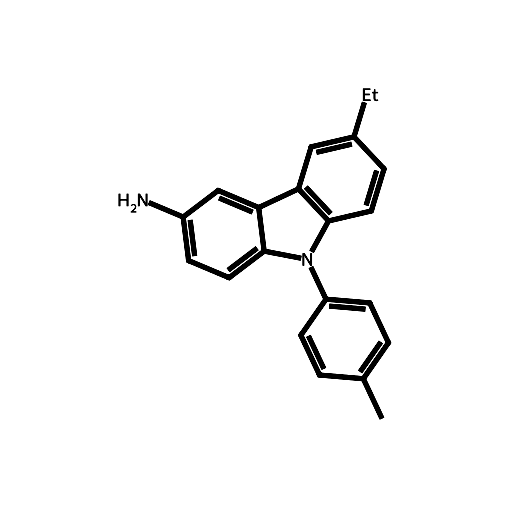 CCc1ccc2c(c1)c1cc(N)ccc1n2-c1ccc(C)cc1